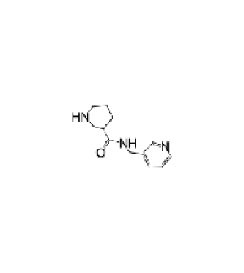 O=C(NCc1cccnc1)C1CCCNC1